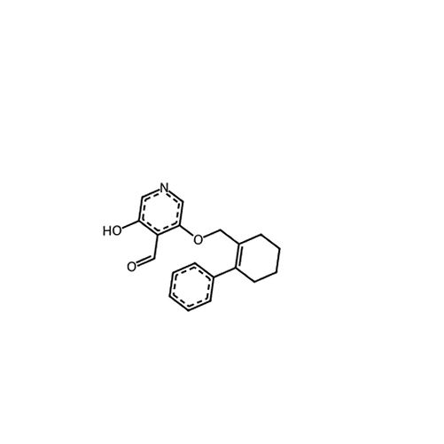 O=Cc1c(O)cncc1OCC1=C(c2ccccc2)CCCC1